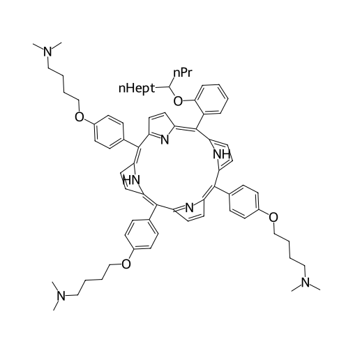 CCCCCCCC(CCC)Oc1ccccc1-c1c2nc(c(-c3ccc(OCCCCN(C)C)cc3)c3ccc([nH]3)c(-c3ccc(OCCCCN(C)C)cc3)c3nc(c(-c4ccc(OCCCCN(C)C)cc4)c4ccc1[nH]4)C=C3)C=C2